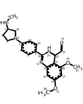 CNC1CCN(c2ccc(C3=Nc4cc(OC)cc(OC)c4C(C=O)N3)cc2)C1